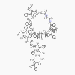 CC[C@@H](C(=O)O[C@H]1CC(=O)N(C)c2cc(cc(OC)c2Cl)C/C(C)=C/C=C/[C@@H](OC)[C@@]2(O)C[C@H](OC(=O)N2)[C@@H](C)[C@@H]2O[C@@]12C)N(C)C(=O)CCS[C@H]1CC(=O)N(C[C@H]2CC[C@H](C(C)=O)CC2)C1=O